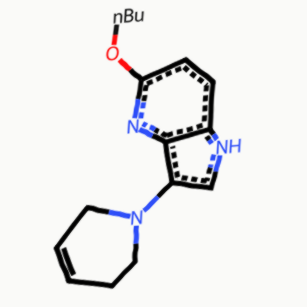 CCCCOc1ccc2[nH]cc(N3CC=CCC3)c2n1